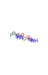 CC1CNCCN1C(=O)C[C@H]1CC[C@@H](NC(=O)c2ccc(-c3cccc(F)c3)nc2)CC1